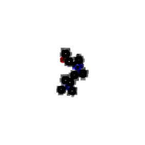 c1ccc(-n2c3ccccc3c3cc(-c4ccc5c(c4)c4ccccc4n5-c4nc(-c5ccc6oc7ccccc7c6c5)c5ccccc5n4)c4ccccc4c32)cc1